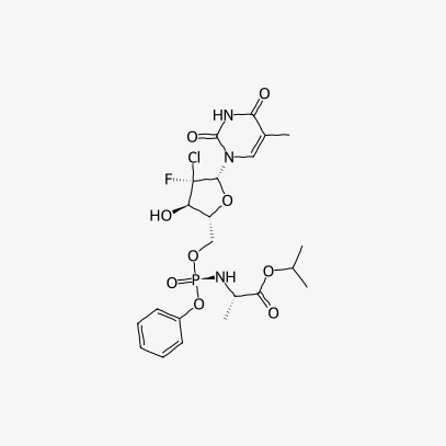 Cc1cn([C@@H]2O[C@H](CO[P@](=O)(N[C@@H](C)C(=O)OC(C)C)Oc3ccccc3)[C@@H](O)[C@@]2(F)Cl)c(=O)[nH]c1=O